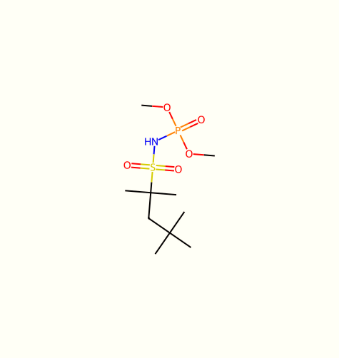 COP(=O)(NS(=O)(=O)C(C)(C)CC(C)(C)C)OC